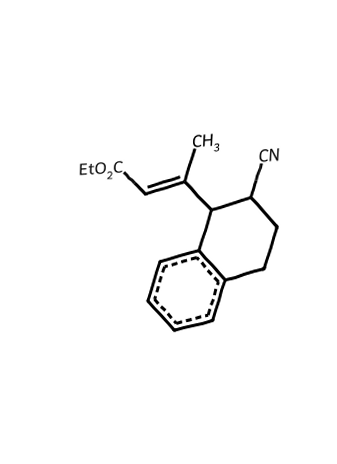 CCOC(=O)C=C(C)C1c2ccccc2CCC1C#N